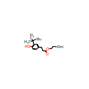 CCCCCCCCCCCCOC(=O)CCc1ccc(O)c(C(C)(C)CCCC)c1